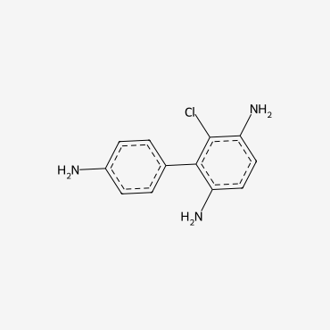 Nc1ccc(-c2c(N)ccc(N)c2Cl)cc1